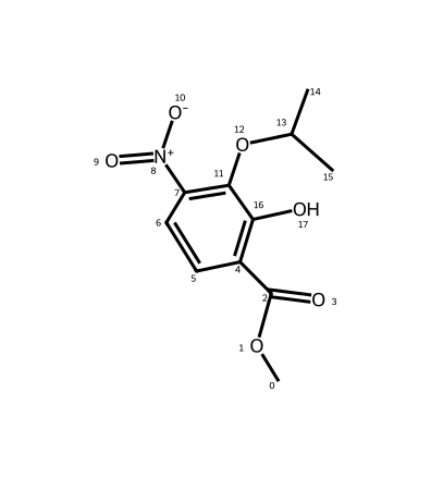 COC(=O)c1ccc([N+](=O)[O-])c(OC(C)C)c1O